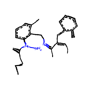 C=C(CCC)N(N)c1cccc(C)c1C/N=C(/C)C(=CC)/C=c1/ccccc1=C